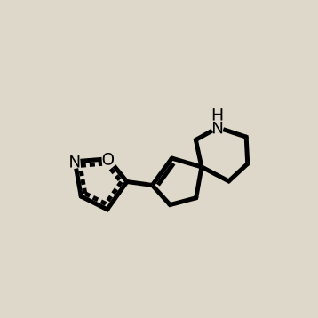 C1=C(c2ccno2)CCC12CCCNC2